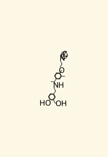 Cc1cc(C(C)NCCc2ccc(O)c(CO)c2)ccc1OCCC[N+]12CCC(CC1)CC2